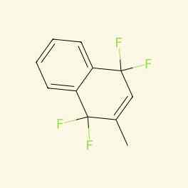 CC1=CC(F)(F)c2ccccc2C1(F)F